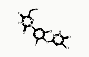 CC(=O)Cc1nn(-c2cc(Cl)c(Oc3cc(C(C)C)c(=O)[nH]n3)c(Cl)c2)c(=O)[nH]c1=O